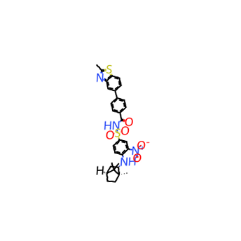 Cc1nc2cc(-c3ccc(C(=O)NS(=O)(=O)c4ccc(N[C@H]5C[C@@H]6CC[C@@]5(C)C6(C)C)c([N+](=O)[O-])c4)cc3)ccc2s1